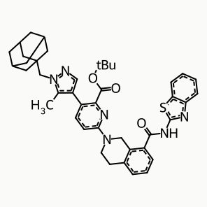 Cc1c(-c2ccc(N3CCc4cccc(C(=O)Nc5nc6ccccc6s5)c4C3)nc2C(=O)OC(C)(C)C)cnn1CC12CC3CC(CC(C3)C1)C2